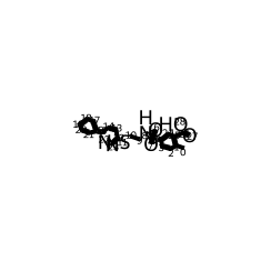 Cc1ccc(S(=O)(=O)NCCSc2ccc(-c3ccccc3)nn2)cc1C(=O)O